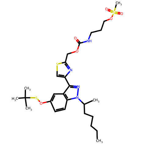 CCCCCC(C)n1nc(-c2csc(COC(=O)NCCCOS(C)(=O)=O)n2)c2cc(OSC(C)(C)C)ccc21